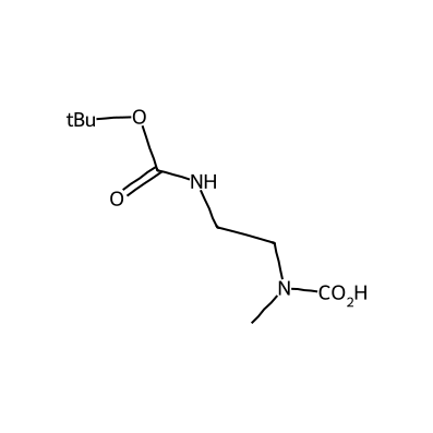 CN(CCNC(=O)OC(C)(C)C)C(=O)O